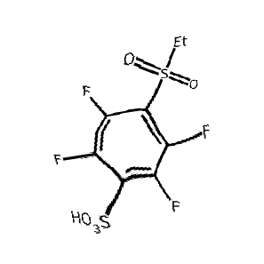 CCS(=O)(=O)c1c(F)c(F)c(S(=O)(=O)O)c(F)c1F